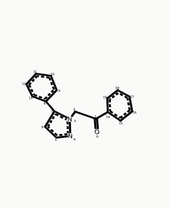 O=C(Cn1nccc1-c1ccccc1)c1ccccc1